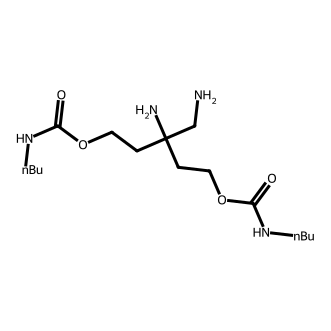 CCCCNC(=O)OCCC(N)(CN)CCOC(=O)NCCCC